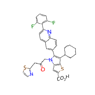 O=C(Cc1nccs1)Cn1c(-c2ccc3nc(-c4c(F)cccc4F)ccc3c2)c(C2CCCCC2)c2sc(C(=O)O)cc21